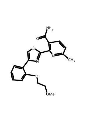 COCCOc1ccccc1-c1csc(-c2nc(C)ccc2C(N)=O)n1